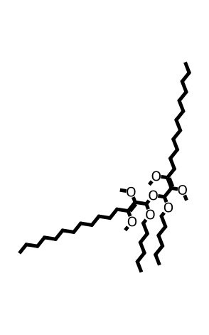 CCCCCCCCCCCCC(OC)=C(OC)C(OCCCCCC)OC(OCCCCCC)C(OC)=C(CCCCCCCCCCCC)OC